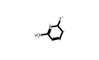 NC1=NC(F)CC=C1